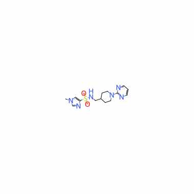 Cn1cnc(S(=O)(=O)NCC2CCN(c3ncccn3)CC2)c1